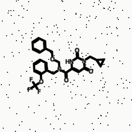 O=C(c1cc(=O)n(CC2CC2)c(=O)[nH]1)N(COCc1ccccc1)Cc1ccccc1OC(F)(F)F